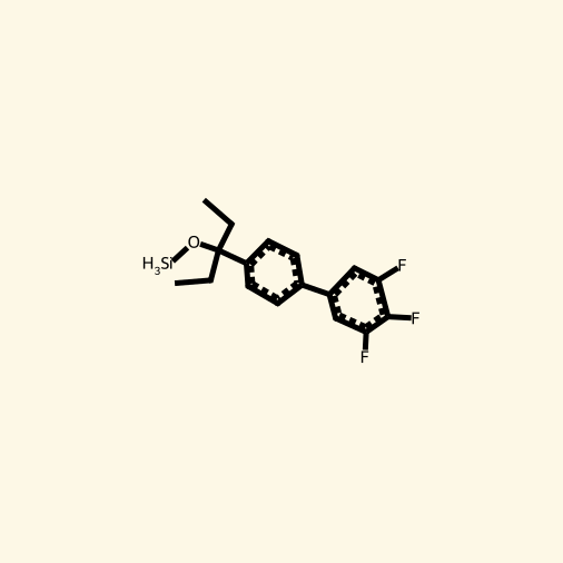 CCC(CC)(O[SiH3])c1ccc(-c2cc(F)c(F)c(F)c2)cc1